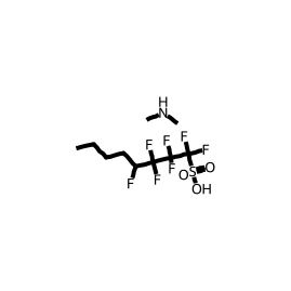 CCCCC(F)C(F)(F)C(F)(F)C(F)(F)S(=O)(=O)O.CNC